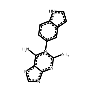 Nc1nc2ncnc-2c(N)n1-c1ccc2[nH]ccc2c1